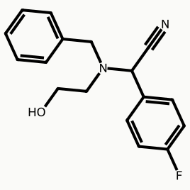 N#CC(c1ccc(F)cc1)N(CCO)Cc1ccccc1